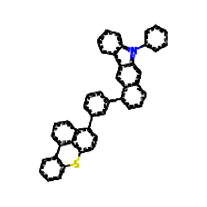 c1ccc(-n2c3ccccc3c3cc4c(-c5cccc(-c6ccc7c8c(cccc68)-c6ccccc6S7)c5)cccc4cc32)cc1